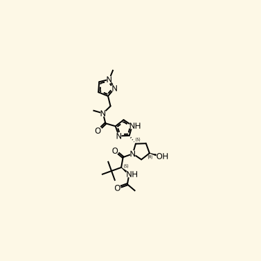 CC(=O)N[C@H](C(=O)N1C[C@H](O)C[C@H]1c1nc(C(=O)N(C)Cc2ccn(C)n2)c[nH]1)C(C)(C)C